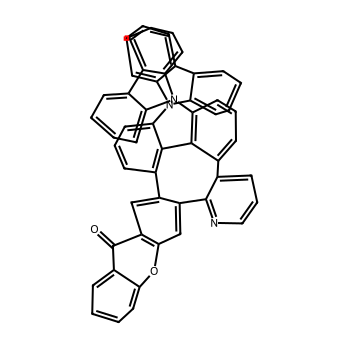 O=c1c2ccccc2oc2cc3c(cc12)-c1cccc(-n2c4ccccc4c4ccccc42)c1-c1c(cccc1-n1c2ccccc2c2ccccc21)-c1cccnc1-3